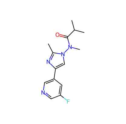 Cc1nc(-c2cncc(F)c2)cn1N(C)C(=O)C(C)C